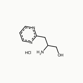 Cl.NC(CO)Cc1ncccn1